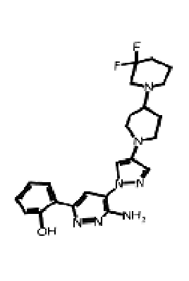 Nc1nnc(-c2ccccc2O)cc1-n1cc(N2CCC(N3CCCC(F)(F)C3)CC2)cn1